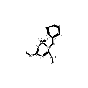 CNC1=NC(OC)=NS(=O)(=O)N1Cc1ccccc1